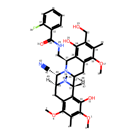 COc1c(C)c(OC)c2c(c1O)[C@H]1[C@@H]3Cc4c(OC)c(C)c(CO)c(O)c4[C@H](CNC(=O)c4ccccc4F)N3[C@@H](C#N)[C@H](C2)N1C